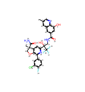 Cc1cnc2c(O)cc(C(=O)NCC(O)(c3cc4c(c(-c5ccc(F)c(Cl)c5)n3)OC[C@]4(C)C(N)=O)C(F)(F)F)cc2c1